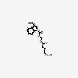 CCCCCCCCCCCCCC(=O)OCOC(=O)n1cc(C=O)c2ccccc21